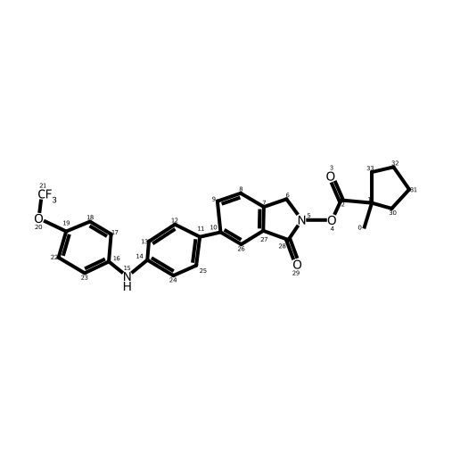 CC1(C(=O)ON2Cc3ccc(-c4ccc(Nc5ccc(OC(F)(F)F)cc5)cc4)cc3C2=O)CCCC1